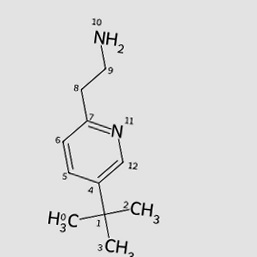 CC(C)(C)c1ccc(CCN)nc1